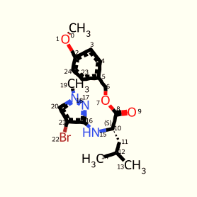 COc1ccc(COC(=O)[C@H](CC(C)C)Nc2nn(C)cc2Br)cc1